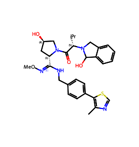 CO/N=C(/NCc1ccc(-c2scnc2C)cc1)[C@@H]1C[C@@H](O)CN1C(=O)[C@H](C(C)C)N1Cc2ccccc2C1O